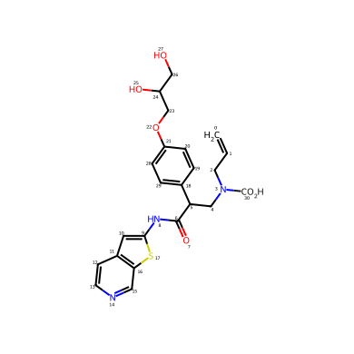 C=CCN(CC(C(=O)Nc1cc2ccncc2s1)c1ccc(OCC(O)CO)cc1)C(=O)O